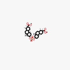 COC(=O)[C@@]1(C)CCC2C(CC[C@@H]3C[C@H](OS(=O)(=O)O[C@@H]4CC[C@]5(C)C6CC[C@](C)(C(=O)OC)[C@@H](C)C6CC[C@@H]5C4)CC[C@]23C)[C@@H]1C